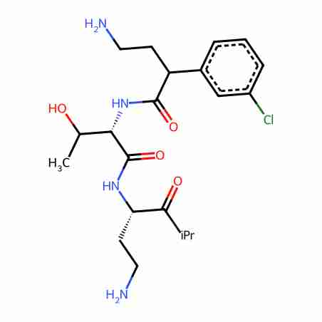 CC(C)C(=O)[C@H](CCN)NC(=O)[C@@H](NC(=O)C(CCN)c1cccc(Cl)c1)C(C)O